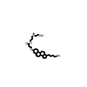 CC(C)CCCCC1CCC2C1CCC1C3CCC(OCCC(=O)OCCCN(C)CCO)CC3=CCC12